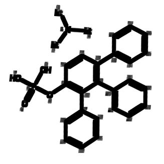 CCN(CC)CC.O=P(O)(O)Oc1ccc(-c2ccccc2)c(-c2ccccc2)c1-c1ccccc1